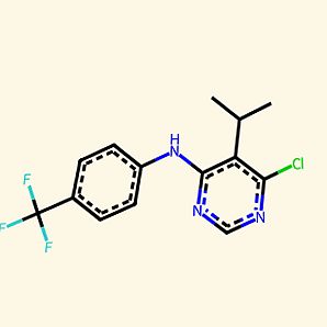 CC(C)c1c(Cl)ncnc1Nc1ccc(C(F)(F)F)cc1